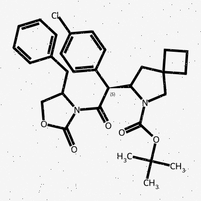 CC(C)(C)OC(=O)N1CC2(CCC2)CC1[C@@H](C(=O)N1C(=O)OCC1Cc1ccccc1)c1ccc(Cl)cc1